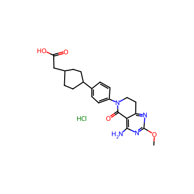 COc1nc(N)c2c(n1)CCN(c1ccc(C3CCC(CC(=O)O)CC3)cc1)C2=O.Cl